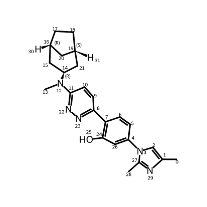 Cc1cn(-c2ccc(-c3ccc(N(C)[C@H]4C[C@@H]5CC[C@@H](C5)C4)nn3)c(O)c2)c(C)n1